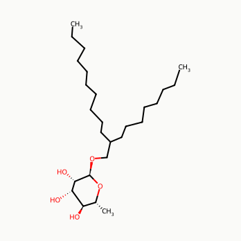 CCCCCCCCCCC(CCCCCCCC)CO[C@H]1O[C@H](C)[C@@H](O)[C@H](O)[C@@H]1O